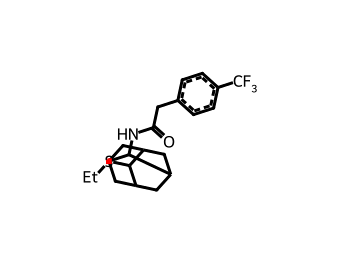 CCSC1C2CC3CC1CC(C2)C3NC(=O)Cc1ccc(C(F)(F)F)cc1